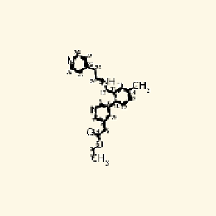 CCOC(=O)Cc1cncc(-c2ccc(C)cc2CNCCc2ccncc2)c1